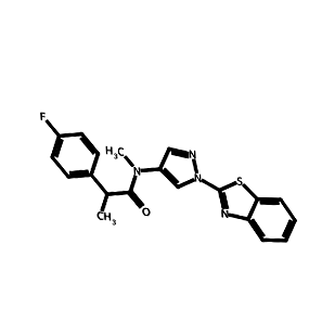 CC(C(=O)N(C)c1cnn(-c2nc3ccccc3s2)c1)c1ccc(F)cc1